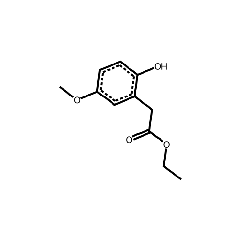 CCOC(=O)Cc1cc(OC)ccc1O